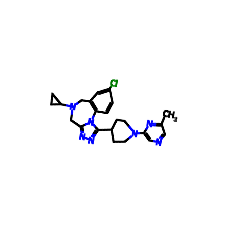 Cc1cncc(N2CCC(c3nnc4n3-c3ccc(Cl)cc3CN(C3CC3)C4)CC2)n1